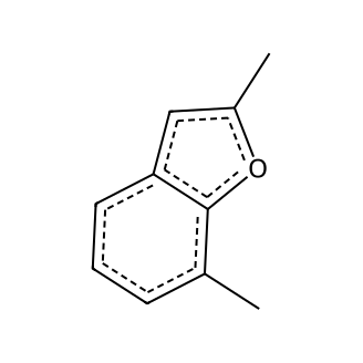 Cc1cc2cccc(C)c2o1